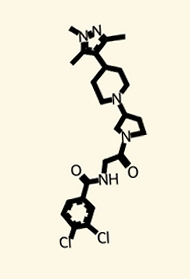 Cc1nn(C)c(C)c1C1CCN(C2CCN(C(=O)CNC(=O)c3ccc(Cl)c(Cl)c3)C2)CC1